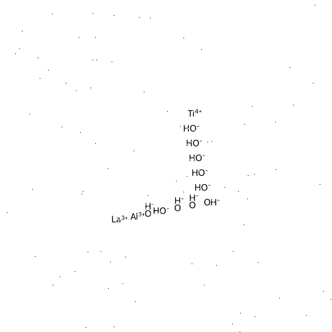 [Al+3].[La+3].[OH-].[OH-].[OH-].[OH-].[OH-].[OH-].[OH-].[OH-].[OH-].[OH-].[Ti+4]